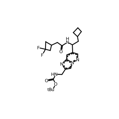 CC(C)(C)OC(=O)NCc1cn2ncc(C(CC3CCC3)NC(=O)CC3CC(F)(F)C3)cc2n1